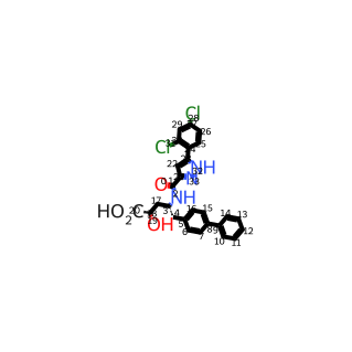 O=C(N[C@H](Cc1ccc(-c2ccccc2)cc1)C[C@@H](O)C(=O)O)c1cc(-c2ccc(Cl)cc2Cl)[nH]n1